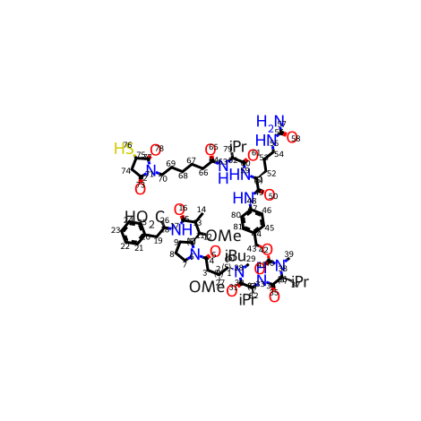 CC[C@H](C)[C@@H]([C@@H](CC(=O)N1CCC[C@H]1C(OC)C(C)C(=O)NC(Cc1ccccc1)C(=O)O)OC)N(C)C(=O)[C@@H](NC(=O)[C@H](C(C)C)N(C)C(=O)OCc1ccc(NC(=O)[C@H](CCCNC(N)=O)NC(=O)C(NC(=O)CCCCCN2C(=O)CC(S)C2=O)C(C)C)cc1)C(C)C